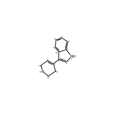 C1=C(c2c[nH]c3ccccc23)CC[N]C1